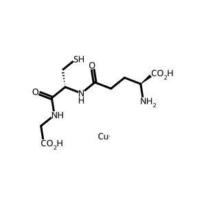 N[C@@H](CCC(=O)N[C@@H](CS)C(=O)NCC(=O)O)C(=O)O.[Cu]